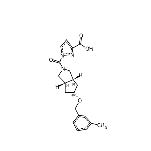 Cc1cccc(CO[C@@H]2C[C@@H]3CN(C(=O)n4ccc(C(=O)O)n4)C[C@@H]3C2)c1